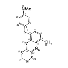 CNc1ccc(Nc2ccc(C)c3nc4c(nc23)SCCS4)cc1